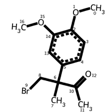 COc1ccc(C(C)(CBr)C(C)=O)cc1OC